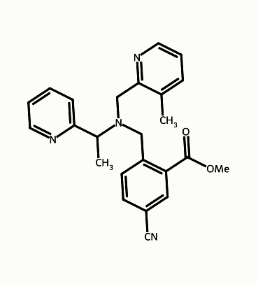 COC(=O)c1cc(C#N)ccc1CN(Cc1ncccc1C)C(C)c1ccccn1